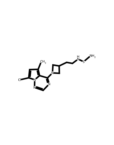 Cc1cc(Cl)n2ncnc(N3CC(CCNSN)C3)c12